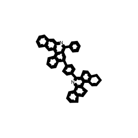 C1=Cc2c(ccc3c(-c4ccc(-c5cc6c(-c7ccccc7)nc7cc8ccccc8cc7c6c6ccccc56)cc4)nc4c5ccccc5ccc4c23)CC1